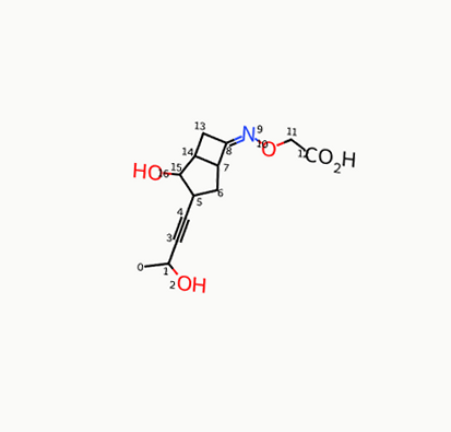 CC(O)C#CC1CC2C(=NOCC(=O)O)CC2C1O